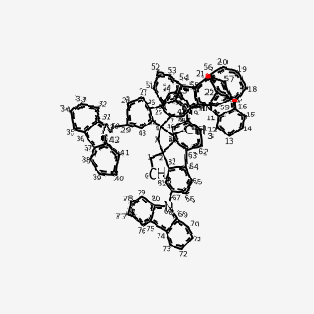 CCC1(CC2(CC)c3cc(-n4c5ccccc5c5ccccc54)ccc3-c3ccc(-n4c5ccccc5c5ccccc54)cc32)c2cc(-n3c4ccccc4c4ccccc43)ccc2-c2ccc(-n3c4ccccc4c4ccccc43)cc21